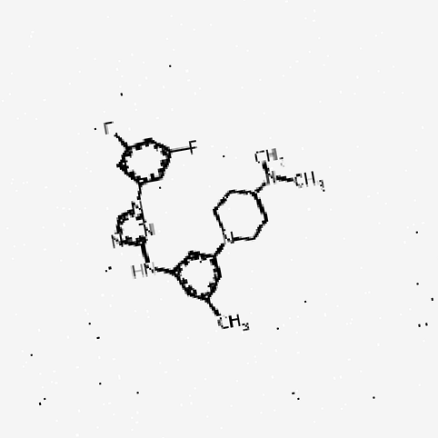 Cc1cc(Nc2ncn(-c3cc(F)cc(F)c3)n2)cc(N2CCC(N(C)C)CC2)c1